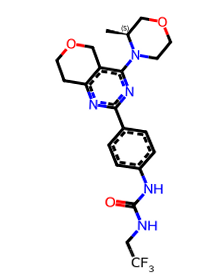 C[C@H]1COCCN1c1nc(-c2ccc(NC(=O)NCC(F)(F)F)cc2)nc2c1COCC2